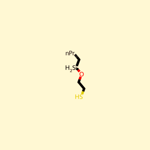 CCCC[SiH2]OCCS